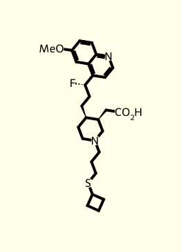 COc1ccc2nccc([C@@H](F)CC[C@@H]3CCN(CCCSC4CCC4)C[C@@H]3CC(=O)O)c2c1